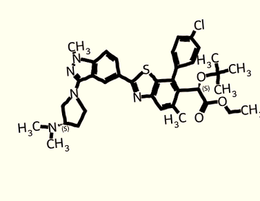 CCOC(=O)[C@@H](OC(C)(C)C)c1c(C)cc2nc(-c3ccc4c(c3)c(N3CC[C@H](N(C)C)C3)nn4C)sc2c1-c1ccc(Cl)cc1